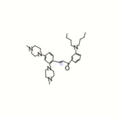 CCCCN(CCCC)c1cccc(C(=O)/C=C/c2ccc(N3CCN(C)CC3)cc2N2CCN(C)CC2)c1